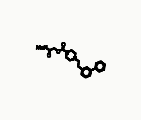 CNC(=O)COC(=O)N1CCN(CCc2cccc(-c3ccccc3)c2)CC1